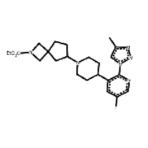 CCOC(=O)N1CC2(CCC(N3CCC(c4cc(F)cnc4-n4cc(C)nn4)CC3)C2)C1